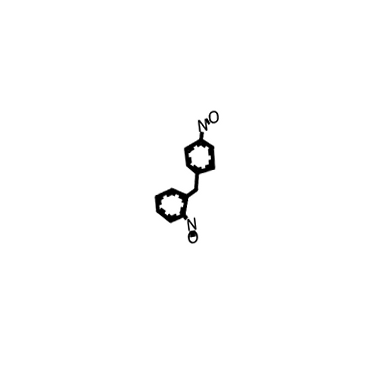 O=Nc1ccc(Cc2ccccc2N=O)cc1